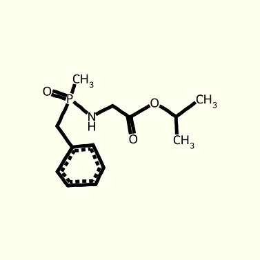 CC(C)OC(=O)CNP(C)(=O)Cc1ccccc1